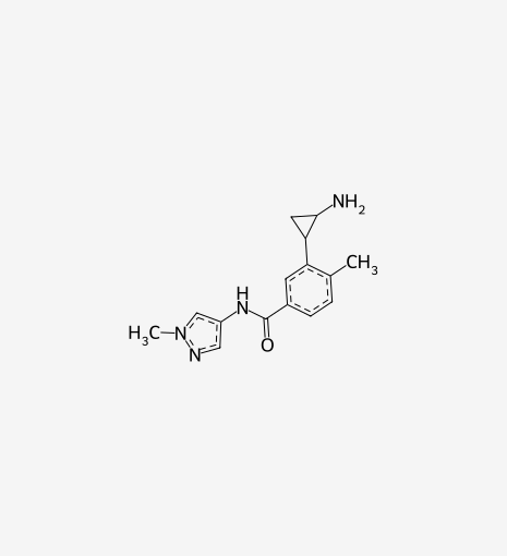 Cc1ccc(C(=O)Nc2cnn(C)c2)cc1C1CC1N